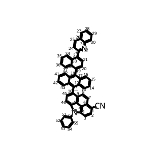 N#Cc1ccc2c3c1ccc1c(-c4c5ccccc5c(-c5ccc(-c6ccc7ccccc7n6)c6ccccc56)c5ccccc45)ccc(c13)n2-c1ccccc1